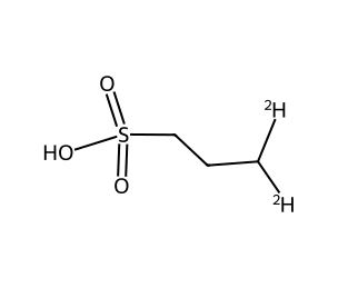 [2H]C([2H])CCS(=O)(=O)O